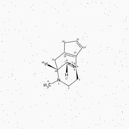 CN1CC[C@]23CCCC[C@H]2[C@H]1CC1=C3C=CC1